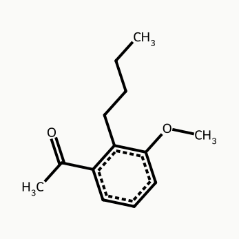 CCCCc1c(OC)cccc1C(C)=O